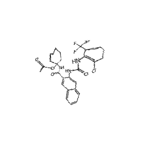 CC(=O)OC1(NC(=O)c2cc3ccccc3cc2NC(=O)Nc2c(Cl)cccc2C(F)(F)F)CCCCC1